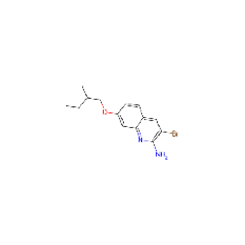 CCC(C)COc1ccc2cc(Br)c(N)nc2c1